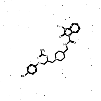 Cn1c(=O)n(C(=O)NCC2CCN(CC(COc3ccc(C(C)(C)C)cc3)OC(N)=O)CC2)c2ccccc21